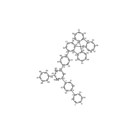 c1ccc(-c2ccc(-c3cc(-c4ccc(-c5cccc6c5-c5ccccc5C65c6ccccc6-c6ccccc65)cc4)nc(-c4ccccc4)n3)cc2)cc1